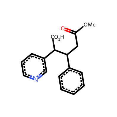 COC(=O)CC(c1ccccc1)C(C(=O)O)c1cccnc1